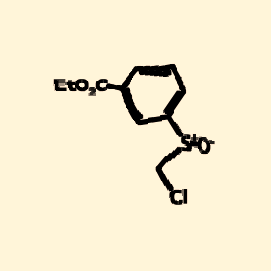 CCOC(=O)c1cccc([S+]([O-])CCl)c1